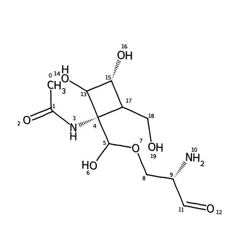 CC(=O)N[C@]1(C(O)OC[C@H](N)C=O)C(O)[C@H](O)C1CO